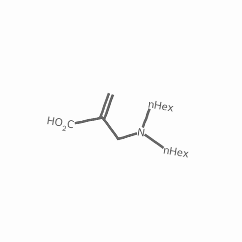 C=C(CN(CCCCCC)CCCCCC)C(=O)O